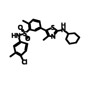 Cc1cc(NS(=O)(=O)c2cc(-c3sc(NC4CCCCC4)nc3C)ccc2C)ccc1Cl